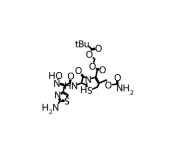 CC(C)(C)C(=O)OCOC(=O)C1=C(COC(N)=O)CS[C@@H]2C(NC(=O)/C(=N\O)c3csc(N)n3)C(=O)N12